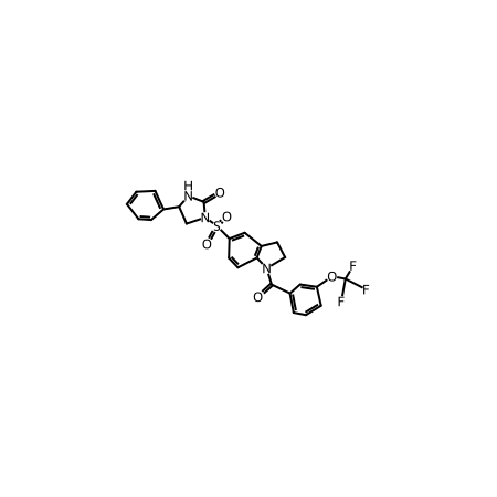 O=C(c1cccc(OC(F)(F)F)c1)N1CCc2cc(S(=O)(=O)N3CC(c4ccccc4)NC3=O)ccc21